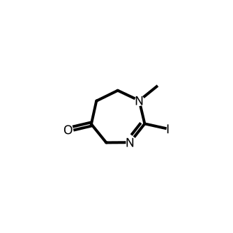 CN1CCC(=O)CN=C1I